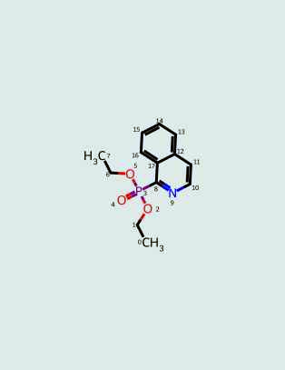 CCOP(=O)(OCC)c1nccc2ccccc12